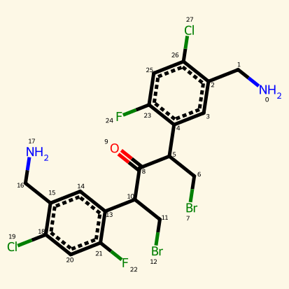 NCc1cc(C(CBr)C(=O)C(CBr)c2cc(CN)c(Cl)cc2F)c(F)cc1Cl